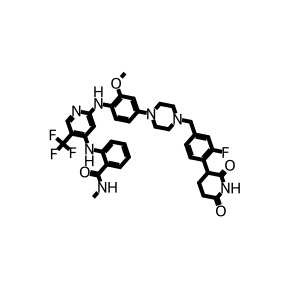 CNC(=O)c1ccccc1Nc1cc(Nc2ccc(N3CCN(Cc4ccc(C5CCC(=O)NC5=O)c(F)c4)CC3)cc2OC)ncc1C(F)(F)F